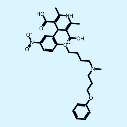 CC1=C(C(=O)O)C(c2cc([N+](=O)[O-])ccc2OCCCCN(C)CCCOc2ccccc2)C(C(=O)O)=C(C)N1